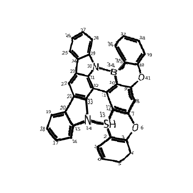 C1=CC2=C(CC1)Oc1cc3c4c5c1[SH]2n1c2ccccc2c2cc6c7ccccc7n(c6c-5c21)B4c1ccccc1O3